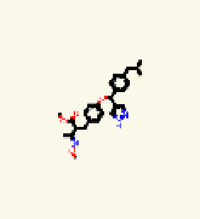 CON=C(C)C(Cc1ccc(OC(c2ccc(CC(C)C)cc2)c2cn[nH]c2)cc1)C(=O)OC